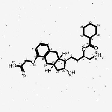 CC[C@@H](CC[C@@H]1[C@H]2Cc3cccc(OCC(=O)O)c3C[C@H]2C[C@H]1O)OC(=O)C1CCCCC1